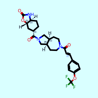 O=C1N[C@H]2CC[C@H](C(=O)N3C[C@H]4CCN(C(=O)/C=C/c5ccc(OC(F)(F)F)cc5)CC[C@H]4C3)C[C@@H]2O1